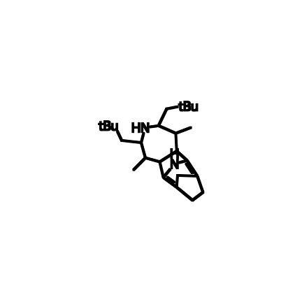 CC1C(CC(C)(C)C)NC(CC(C)(C)C)C(C)C2C3=C4CCC(=C(N3)C12)C4